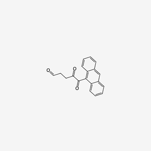 O=CCCC(=O)C(=O)c1c2ccccc2cc2ccccc12